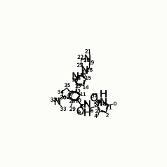 Cc1cc(C)c(CNC(=O)c2cc(-c3ccc(N4CCN(C)CC4)nc3)c3c(c2C)C(N(C)C)CC3)c(=O)[nH]1